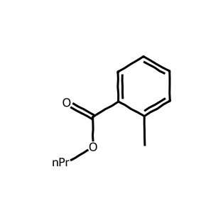 CCCOC(=O)c1ccccc1C